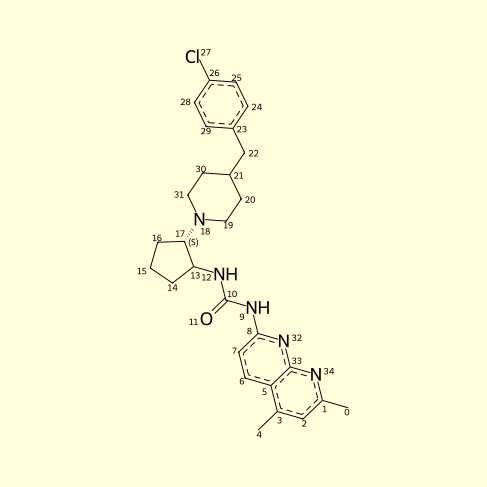 Cc1cc(C)c2ccc(NC(=O)NC3CCC[C@@H]3N3CCC(Cc4ccc(Cl)cc4)CC3)nc2n1